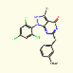 CCc1[nH]n(-c2c(Cl)cc(Cl)cc2Cl)c2nc(Cc3cccc(OC)c3)nc(=O)c1-2